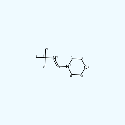 CC(C)(C)/N=C/N1CCOCC1